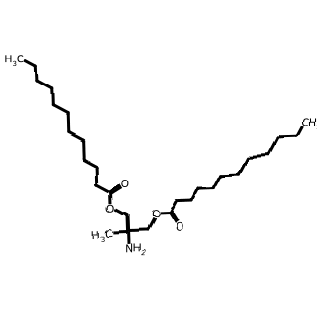 CCCCCCCCCCCC(=O)OCC(C)(N)COC(=O)CCCCCCCCCCC